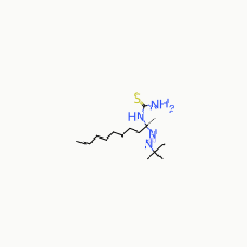 CCCCCCCCC(C)(/N=N/C(C)(C)C)NC(N)=S